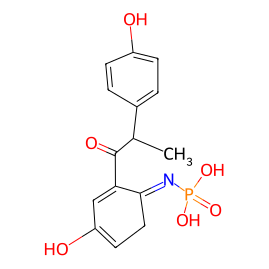 CC(C(=O)C1=CC(O)=CCC1=NP(=O)(O)O)c1ccc(O)cc1